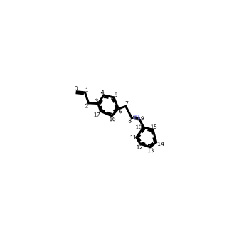 C=CCc1ccc(C/C=C/c2ccccc2)cc1